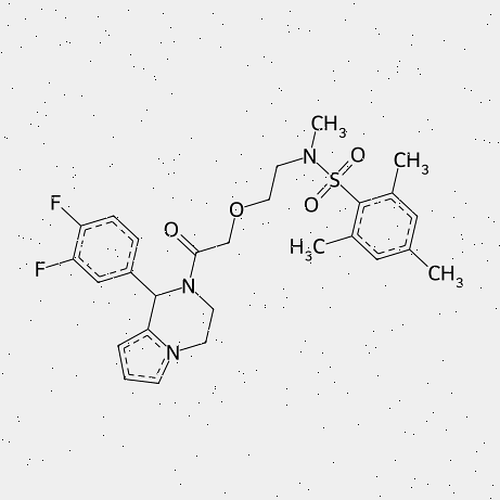 Cc1cc(C)c(S(=O)(=O)N(C)CCOCC(=O)N2CCn3cccc3C2c2ccc(F)c(F)c2)c(C)c1